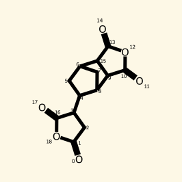 O=C1CC(C2CC3CC2C2C(=O)OC(=O)C32)C(=O)O1